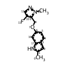 Cc1cc2ccc(OCc3c(F)cnn3C)cc2[nH]1